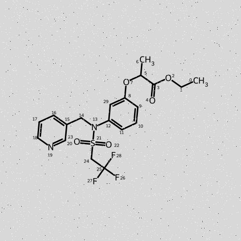 CCOC(=O)C(C)Oc1cccc(N(Cc2cccnc2)S(=O)(=O)CC(F)(F)F)c1